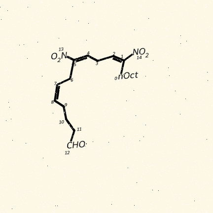 CCCCCCCC/C(=C\C/C=C(\C/C=C\CCC[C]=O)[N+](=O)[O-])[N+](=O)[O-]